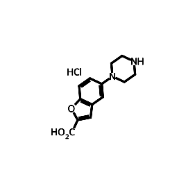 Cl.O=C(O)c1cc2cc(N3CCNCC3)ccc2o1